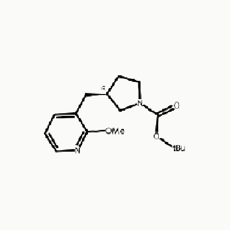 COc1ncccc1C[C@H]1CCN(C(=O)OC(C)(C)C)C1